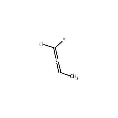 CC=C=C(F)Cl